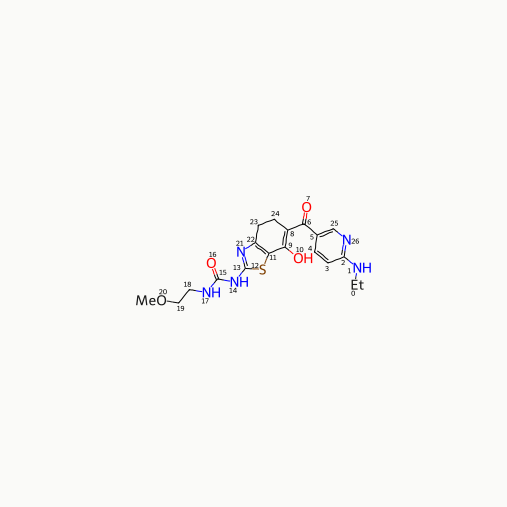 CCNc1ccc(C(=O)C2=C(O)c3sc(NC(=O)NCCOC)nc3CC2)cn1